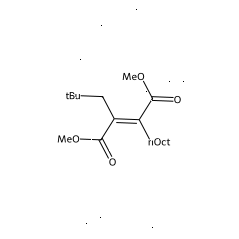 CCCCCCCCC(C(=O)OC)=C(CC(C)(C)C)C(=O)OC